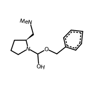 CNC[C@@H]1CCCN1C(O)OCc1ccccc1